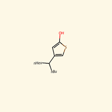 CCCCCCC(CCCC)c1csc(O)c1